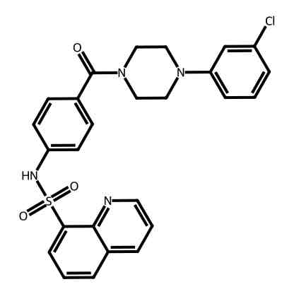 O=C(c1ccc(NS(=O)(=O)c2cccc3cccnc23)cc1)N1CCN(c2cccc(Cl)c2)CC1